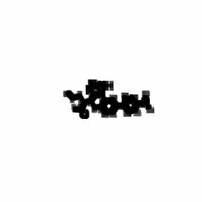 CCC[C@H](C(C)=O)[C@H](Cc1ccc(-c2ccc(N(C)C)nc2)cc1)c1nn[nH]n1